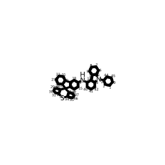 c1ccc(-n2c3ccccc3c3c(Nc4ccc5c(c4)-c4ccccc4C54c5ccccc5Sc5ccccc54)cccc32)cc1